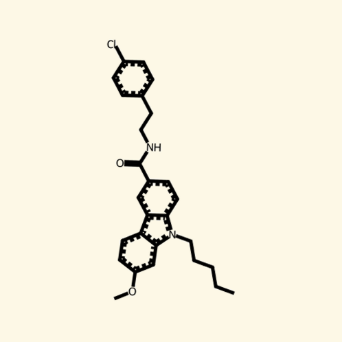 CCCCCn1c2ccc(C(=O)NCCc3ccc(Cl)cc3)cc2c2ccc(OC)cc21